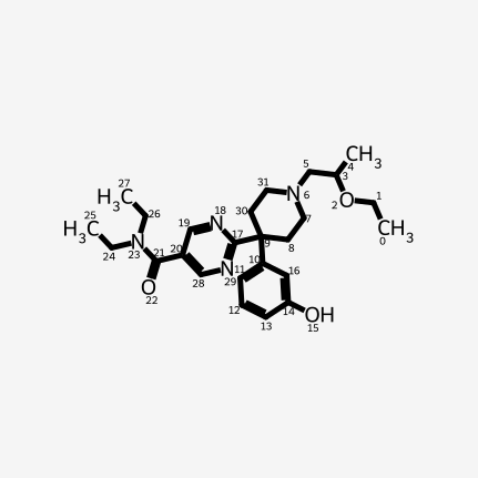 CCOC(C)CN1CCC(c2cccc(O)c2)(c2ncc(C(=O)N(CC)CC)cn2)CC1